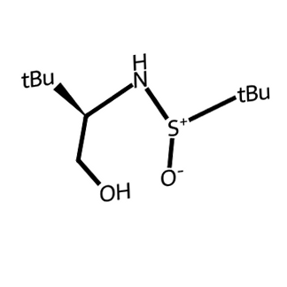 CC(C)(C)[C@H](CO)N[S+]([O-])C(C)(C)C